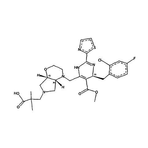 COC(=O)C1=C(CN2CCO[C@H]3CN(CC(C)(C)C(=O)O)C[C@H]32)NC(c2nccs2)=N[C@H]1Cc1ccc(F)cc1Cl